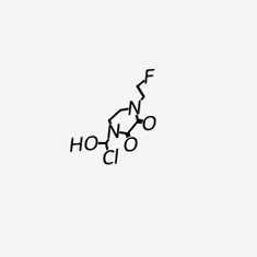 O=C1C(=O)N(C(O)Cl)CCN1CCF